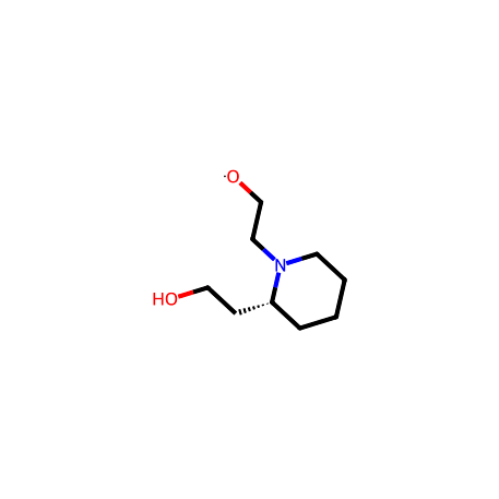 [O]CCN1CCCC[C@@H]1CCO